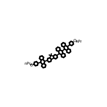 CCCOc1ccc(-c2c3ccccc3c(-c3ccc4c(c3)C(C)(C)c3cc(-c5c6ccccc6c(-c6c7ccccc7c(-c7ccc(OCCC)cc7)c7ccccc67)c6ccccc56)ccc3-4)c3ccccc23)cc1